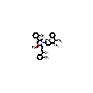 C=C/C(=C\C=C(/C)c1ccccc1C(C)(C)C)N(C(=C)/C=C\C(C)=C(/C)C(C)c1ccccc1)C(=C)/C(=C\C=C/CC)C1=CC=CCC1C